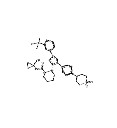 CC(C)(O)c1cccc(-n2cc(-c3ccc(N4CCS(=O)(=O)CC4)cc3)c([C@@H]3CCCC[C@H]3C(=O)NC3(C#N)CC3)n2)c1